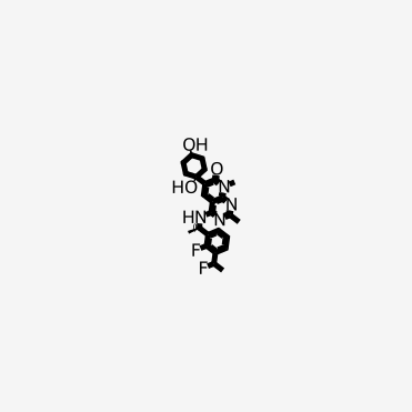 Cc1nc(N[C@H](C)c2cccc(C(C)F)c2F)c2cc([C@]3(O)CC[C@@H](O)CC3)c(=O)n(C)c2n1